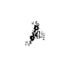 COc1ccc(C(=O)N(C)N(C(=O)c2ccc(OC)cc2)C(C)(C)C)cc1